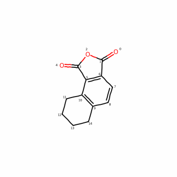 O=C1OC(=O)c2c1ccc1c2CCCC1